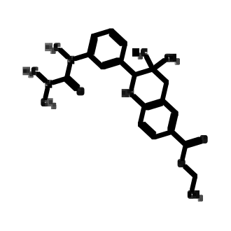 CCOC(=O)c1ccc2c(c1)CC(C)(C)C(c1cccc(N(C)C(=O)N(C)C)c1)N2